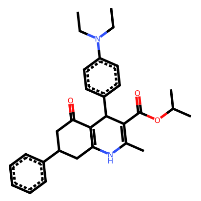 CCN(CC)c1ccc(C2C(C(=O)OC(C)C)=C(C)NC3=C2C(=O)CC(c2ccccc2)C3)cc1